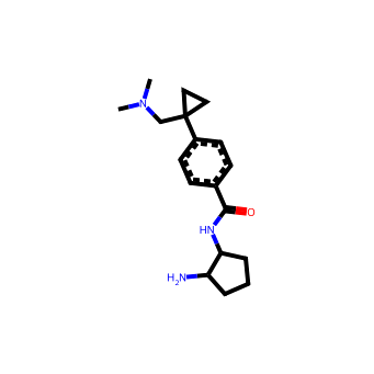 CN(C)CC1(c2ccc(C(=O)NC3CCCC3N)cc2)CC1